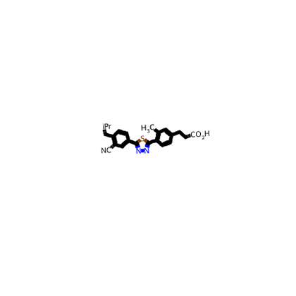 Cc1cc(CCC(=O)O)ccc1-c1nnc(-c2ccc(CC(C)C)c(C#N)c2)s1